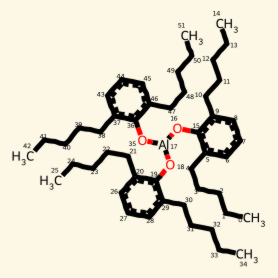 CCCCCc1cccc(CCCCC)c1[O][Al]([O]c1c(CCCCC)cccc1CCCCC)[O]c1c(CCCCC)cccc1CCCCC